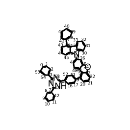 c1ccc(C2=NC(c3ccccc3)NC(c3ccc(-c4cccc5oc6cc(-n7c8ccccc8c8c(-c9ccccc9)cccc87)ccc6c45)cc3)=N2)cc1